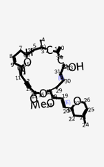 C=C1C[C@H](C)C[C@@H]2CC=C[C@@H](CC#CC(=O)O[C@H]([C@H](/C=C/[C@@H]3CC(C)=CCO3)OC)C/C=C/[C@@H](O)C1)O2